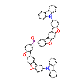 O=[PH](c1ccc2oc3cc4oc5ccc(-n6c7ccccc7c7ccccc76)cc5c4cc3c2c1)c1ccc2oc3cc4oc5ccc(-n6c7ccccc7c7ccccc76)cc5c4cc3c2c1